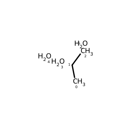 CCC.O.O.O